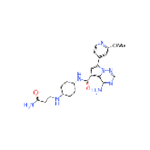 COc1cc(-c2cc(C(=O)N[C@H]3CC[C@H](NCCC(N)=O)CC3)c3c(N)ncnn23)ccn1